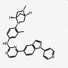 Cc1cc(Nc2nccc(-c3ccc4c(ccn4-c4ccncc4)c3)n2)ccc1N1C[C@@H]2C[C@H]1CN2C